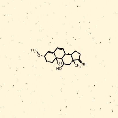 CO[C@@H]1C=C2C=CC3C4CCC(=N)C4(C)C[C@@H](O)C3C2(C)CC1